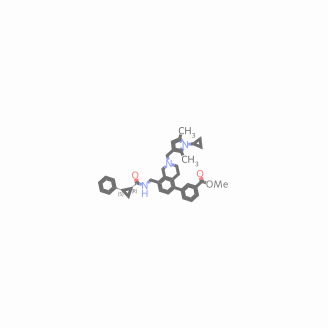 COC(=O)c1cccc(-c2ccc(CNC(=O)[C@@H]3C[C@@H]3c3ccccc3)c3c2CCN(Cc2cc(C)n(C4CC4)c2C)C3)c1